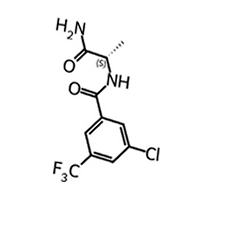 C[C@H](NC(=O)c1cc(Cl)cc(C(F)(F)F)c1)C(N)=O